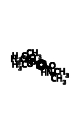 CC(C)NC(=O)c1ccc(B2OC(C)(C)C(C)(C)O2)cc1